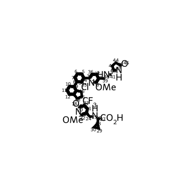 COc1nc(-c2cccc(-c3cccc4c3CC[C@@H]4Oc3nc(OC)c(CN[C@H](C(=O)O)C4CC4)cc3C(F)(F)F)c2Cl)ccc1CNC[C@@H]1CCC(=O)N1